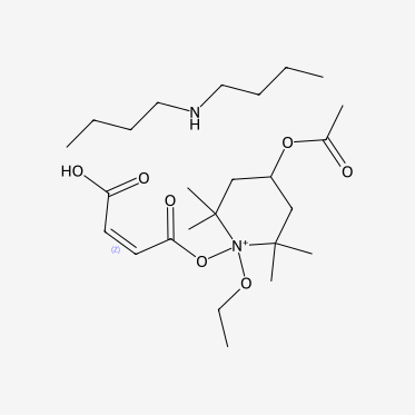 CCCCNCCCC.CCO[N+]1(OC(=O)/C=C\C(=O)O)C(C)(C)CC(OC(C)=O)CC1(C)C